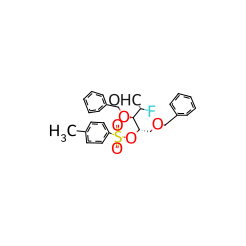 Cc1ccc(S(=O)(=O)O[C@@H](COCc2ccccc2)[C@@H](OCc2ccccc2)[C@@H](F)C=O)cc1